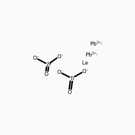 [La].[O]=[Ti]([O-])[O-].[O]=[Zr]([O-])[O-].[Pb+2].[Pb+2]